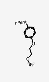 CCCCCc1ccc(OCCOC(C)C)cc1